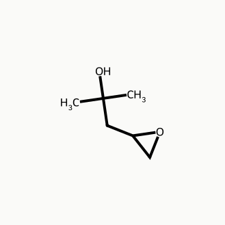 CC(C)(O)CC1CO1